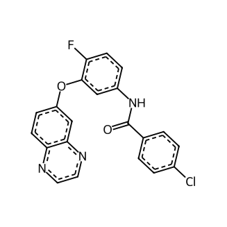 O=C(Nc1ccc(F)c(Oc2ccc3nccnc3c2)c1)c1ccc(Cl)cc1